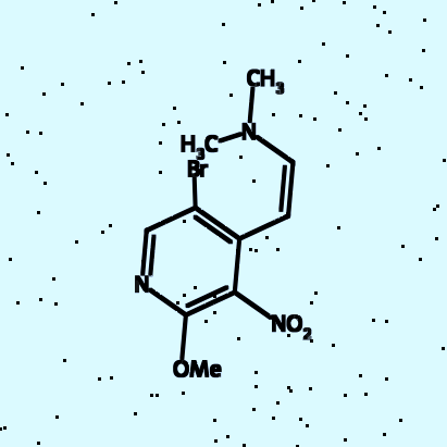 COc1ncc(Br)c(/C=C\N(C)C)c1[N+](=O)[O-]